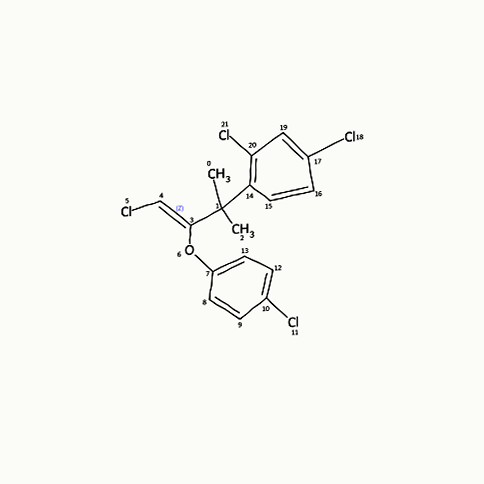 CC(C)(/C(=C/Cl)Oc1ccc(Cl)cc1)c1ccc(Cl)cc1Cl